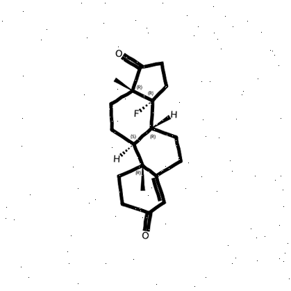 C[C@]12CCC(=O)C=C1CC[C@@H]1[C@@H]2CC[C@]2(C)C(=O)CC[C@@]12F